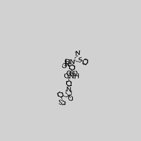 COC1(Cc2ccccc2-c2cccs2)CCN(c2ccc(C(=O)NS(=O)(=O)c3ccc(NC(CCN(C)C)CSc4ccccc4)c([N+](=O)[O-])c3)cc2)CC1